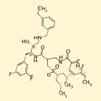 C=C(/C=C\C(F)=C/C)C(=O)NCC(CS(=O)(=O)C(CCC)CCC)C(=O)N[C@@H](Cc1cc(F)cc(F)c1)[C@H](O)CNCc1cccc(CC)c1